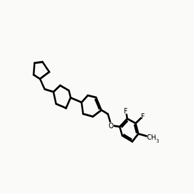 Cc1ccc(OCC2=CCC(C3CCC(CC4CCCC4)CC3)CC2)c(F)c1F